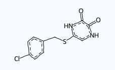 O=c1[nH]cc(SCc2ccc(Cl)cc2)[nH]c1=O